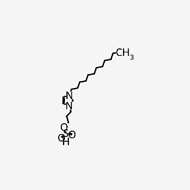 CCCCCCCCCCCCN1C=CN(CCCO[SH](=O)=O)C1